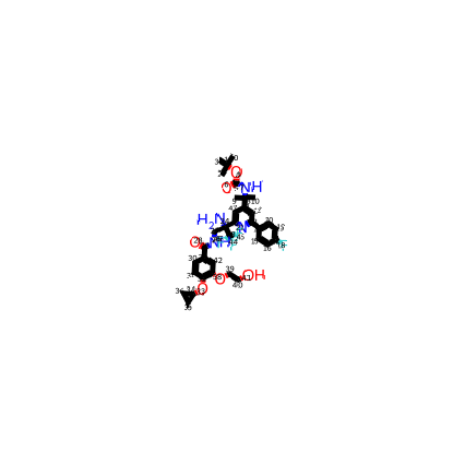 CC(C)(C)OC(=O)NC(C)(C)c1cc(-c2ccc(F)cc2)nc(C(N)(CNC(=O)c2ccc(OC3CC3)c(OCCO)c2)C(F)(F)F)c1